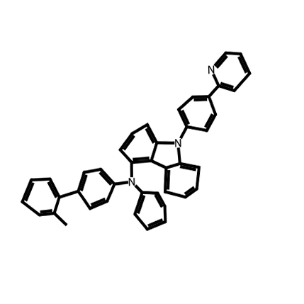 Cc1ccccc1-c1ccc(N(c2ccccc2)c2cccc3c2c2ccccc2n3-c2ccc(-c3ccccn3)cc2)cc1